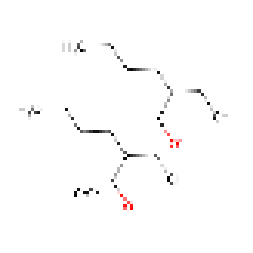 CCCCC(CC)C[O-].CCCCC(CC)C[O-].[Co+2]